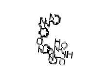 O=C1NC(=O)C2(CCCN2c2ccc(Oc3ccc4c(cnn4-c4ccccn4)c3)nc2)C(=O)N1